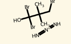 CC(C)(CBr)C(O)(Br)Br.N=[N+]=N